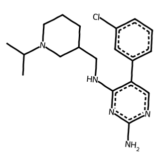 CC(C)N1CCCC(CNc2nc(N)ncc2-c2cccc(Cl)c2)C1